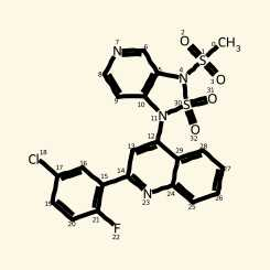 CS(=O)(=O)N1c2cnccc2N(c2cc(-c3cc(Cl)ccc3F)nc3ccccc23)S1(=O)=O